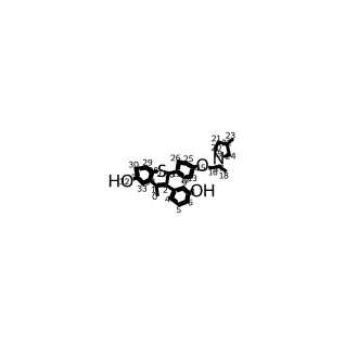 CC1=C(c2cccc(O)c2)C(c2ccc(OCC(C)N3CCC(C)C3)cc2)Sc2ccc(O)cc21